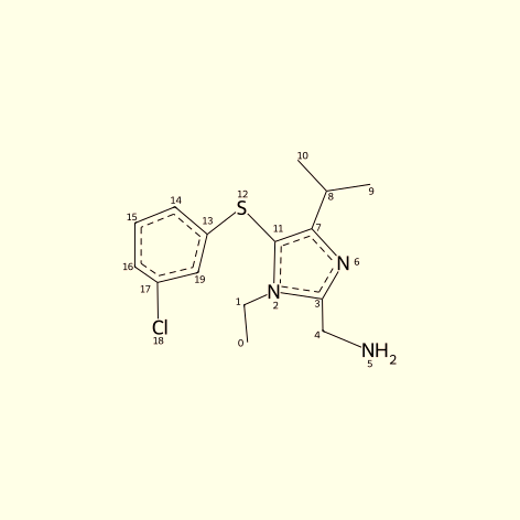 CCn1c(CN)nc(C(C)C)c1Sc1cccc(Cl)c1